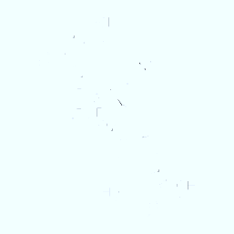 Cc1cc(C(=O)C[C@](C#N)(c2cc(Cl)cc(Cl)c2)C(F)(F)F)ccc1C(=O)O